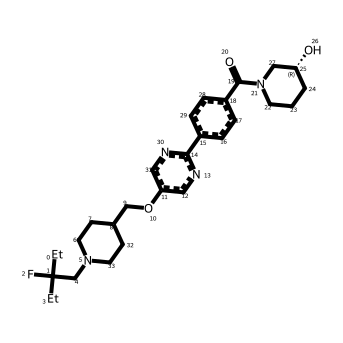 CCC(F)(CC)CN1CCC(COc2cnc(-c3ccc(C(=O)N4CCC[C@@H](O)C4)cc3)nc2)CC1